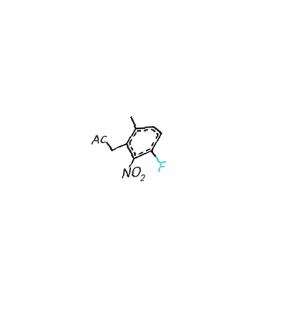 CC(=O)Cc1c(C)ccc(F)c1[N+](=O)[O-]